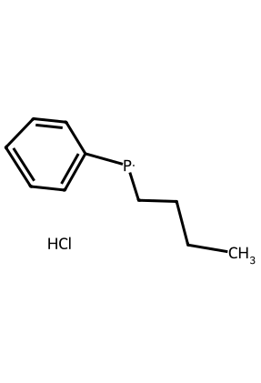 CCCC[P]c1ccccc1.Cl